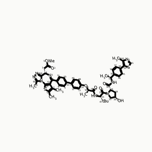 COC(=O)C[C@@H]1N=C(c2ccc(-c3ccc(O[C@H](C)C(=O)N[C@H](C(=O)N4C[C@H](O)C[C@H]4C(=O)N[C@@H](C)c4ccc(-c5scnc5C)cc4)C(C)(C)C)cc3)cc2)c2c(sc(C)c2C)-n2c(C)nnc21